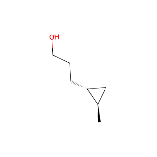 C[C@@H]1C[C@H]1CCCO